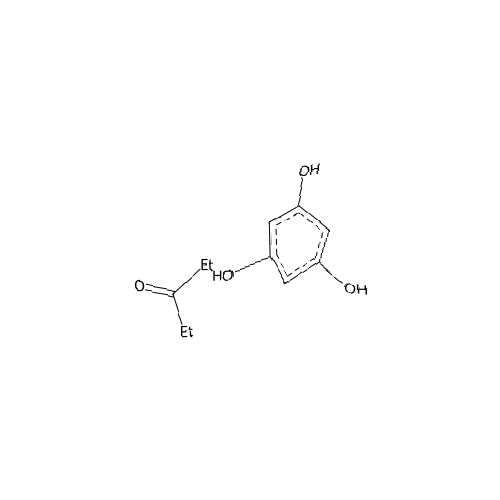 CCC(=O)CC.Oc1cc(O)cc(O)c1